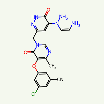 N#Cc1cc(Cl)cc(Oc2c(C(F)(F)F)ncn(Cc3cc(N(N)/C=C\N)c(=O)[nH]n3)c2=O)c1